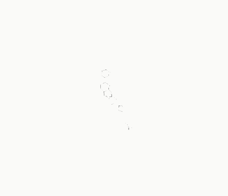 CC(C)N1CCC(c2nc(C(=O)Nc3cc4nc(-c5cncc(F)c5)ccc4cn3)co2)CC1